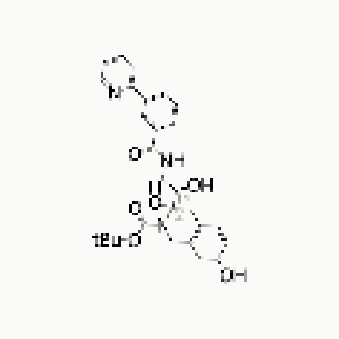 CC(C)(C)OC(=O)N1Cc2cc(O)ccc2C[C@]1(O)[C@H](O)CNC(=O)c1cccc(-c2ccccn2)c1